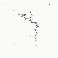 CC/C(=C\C=C/CCC(C)C)CNC